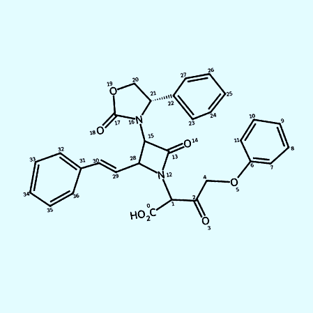 O=C(O)C(C(=O)COc1ccccc1)N1C(=O)C(N2C(=O)OC[C@@H]2c2ccccc2)C1C=Cc1ccccc1